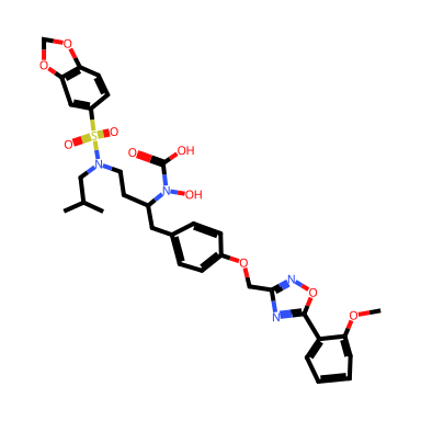 COc1ccccc1-c1nc(COc2ccc(CC(CCN(CC(C)C)S(=O)(=O)c3ccc4c(c3)OCO4)N(O)C(=O)O)cc2)no1